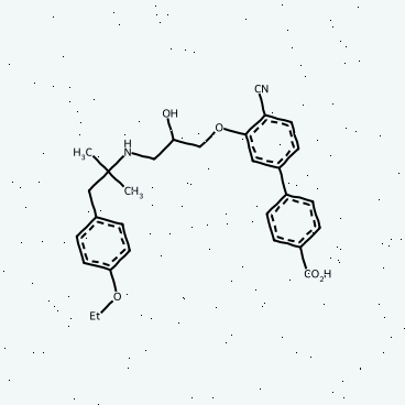 CCOc1ccc(CC(C)(C)NCC(O)COc2cc(-c3ccc(C(=O)O)cc3)ccc2C#N)cc1